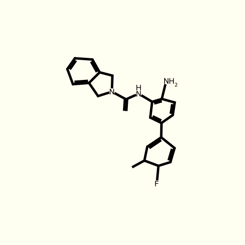 C=C(Nc1cc(C2=CC(C)C(F)C=C2)ccc1N)N1Cc2ccccc2C1